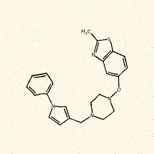 Cc1nc2cc(ON3C[CH]N(Cc4ccn(-c5ccccc5)c4)CC3)ccc2s1